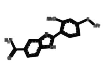 CCCSc1ccc(-c2nc3cc(C(N)=O)ccc3[nH]2)c(OC)c1